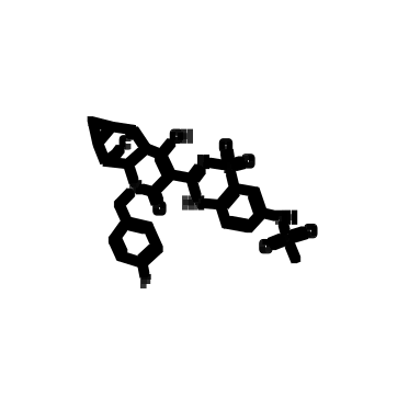 CS(=O)(=O)Nc1ccc2c(c1)S(=O)(=O)N=C(C1=C(O)C3C4CCC(C5CC54)C3N(Cc3ccc(F)cc3)C1=O)N2